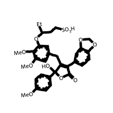 CCC(CCS(=O)(=O)O)Oc1cc(CC2=C(c3ccc4c(c3)OCO4)C(=O)OC2(O)c2ccc(OC)cc2)cc(OC)c1OC